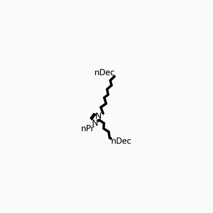 CCCCCCCCCCCCCCCCCCC[n+]1ccn(CCC)c1CCCCCCCCCCCCCC